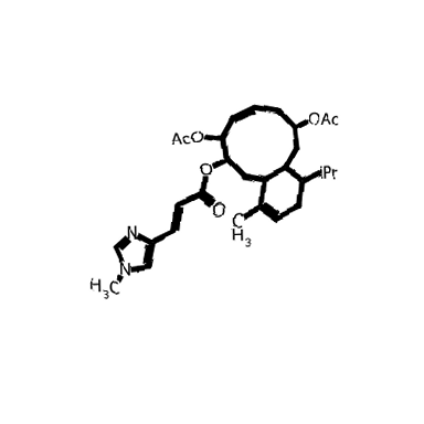 CC(=O)OC1CC=CC(OC(C)=O)C(OC(=O)C=Cc2cn(C)cn2)CC2C(C)=CCC(C(C)C)C2C1